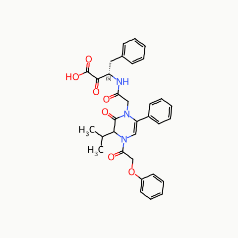 CC(C)C1C(=O)N(CC(=O)N[C@@H](Cc2ccccc2)C(=O)C(=O)O)C(c2ccccc2)=CN1C(=O)COc1ccccc1